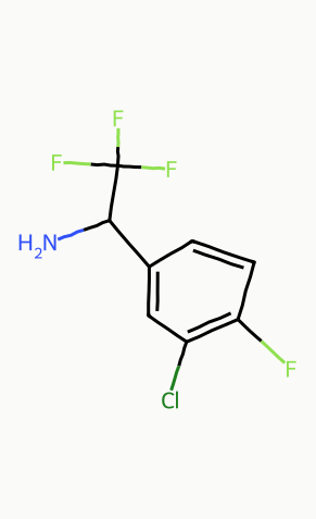 NC(c1ccc(F)c(Cl)c1)C(F)(F)F